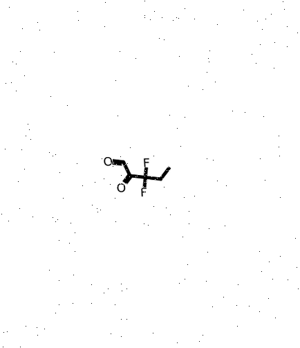 CCC(F)(F)C(=O)C=O